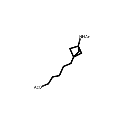 CC(=O)NC12CC(CCCCCOC(C)=O)(C1)C2